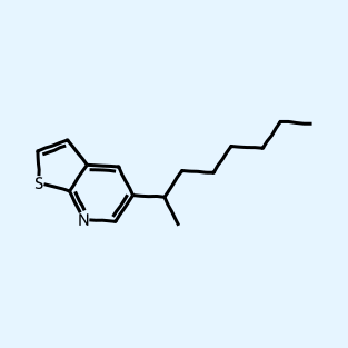 CCCCCCC(C)c1cnc2sccc2c1